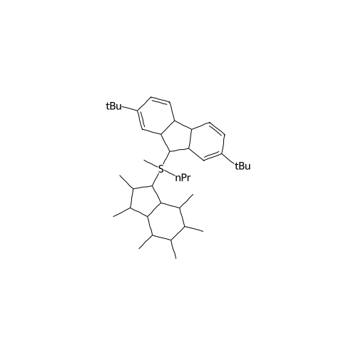 CCCS(C)(C1C2C=C(C(C)(C)C)C=CC2C2C=CC(C(C)(C)C)=CC21)C1C(C)C(C)C2C(C)C(C)C(C)C(C)C21